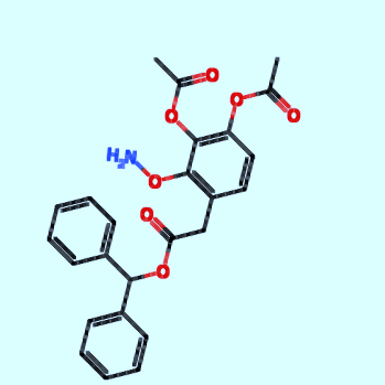 CC(=O)Oc1ccc(CC(=O)OC(c2ccccc2)c2ccccc2)c(ON)c1OC(C)=O